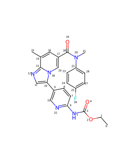 CCOC(=O)Nc1ccc(-c2cnc3c(C)cc(C(=O)N(C)c4ccc(F)cc4)cn23)cn1